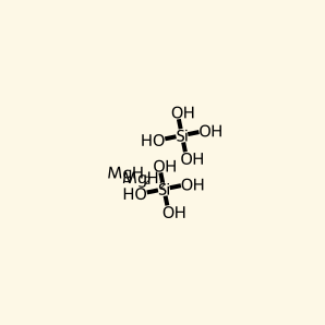 O[Si](O)(O)O.O[Si](O)(O)O.[MgH2].[MgH2]